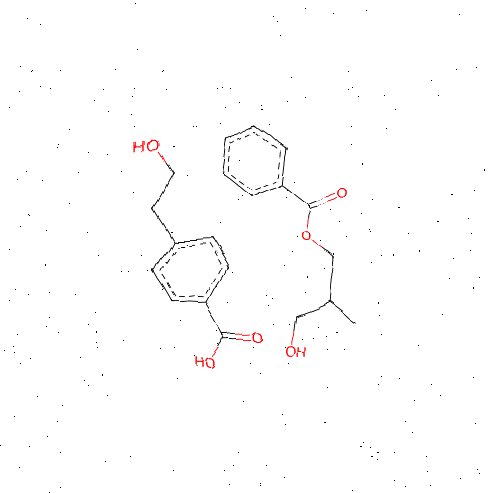 CC(CO)COC(=O)c1ccccc1.O=C(O)c1ccc(CCO)cc1